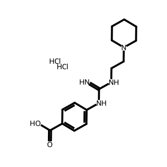 Cl.Cl.N=C(NCCN1CCCCC1)Nc1ccc(C(=O)O)cc1